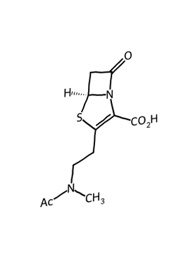 CC(=O)N(C)CCC1=C(C(=O)O)N2C(=O)C[C@@H]2S1